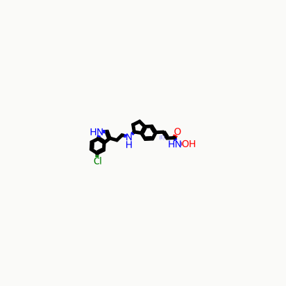 O=C(/C=C/c1ccc2c(c1)CCC2NCCc1c[nH]c2ccc(Cl)cc12)NO